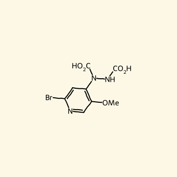 COc1cnc(Br)cc1N(NC(=O)O)C(=O)O